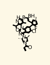 BC(B)=Cc1cccc(F)c1-c1cc2c(cc1Cl)c(N1[C@@H](C)CN(C(=O)C=C)C[C@@H]1C)nc(=O)n2-c1c(C)ccnc1C(C)C